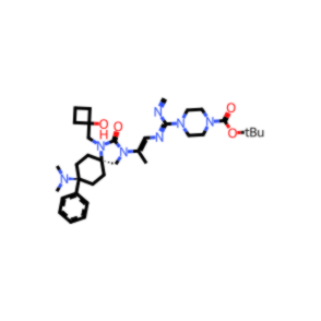 C=N/C(=N\C=C(/C)N1C[C@]2(CC[C@](c3ccccc3)(N(C)C)CC2)N(CC2(O)CCC2)C1=O)N1CCN(C(=O)OC(C)(C)C)CC1